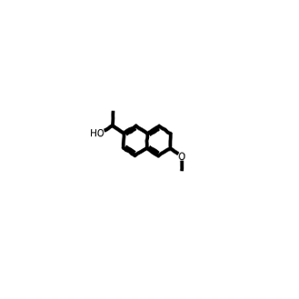 COC1C=c2ccc(C(C)O)cc2=CC1